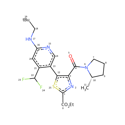 CCOC(=O)c1nc(C(=O)N2CCC[C@@H]2C)c(-c2cnc(NCC(C)(C)C)cc2C(F)F)s1